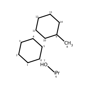 C1CCCCC1.CC(C)O.CC1CCCCC1